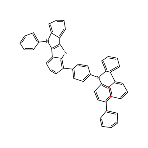 c1ccc(-c2ccc(N(c3ccc(-c4cccc5c4sc4c6ccccc6n(-c6ccccc6)c54)cc3)c3ccccc3-c3ccccc3)cc2)cc1